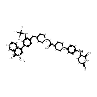 Cn1cc(-c2ccc(CC3CCN(CC(=O)C4CCN(c5ccc(NC6CCC(=O)NC6=O)cc5)CC4)CC3)c(OC(F)(F)F)c2)c2ccncc2c1=O